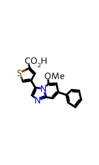 COc1cc(-c2ccccc2)cc2ncc(-c3csc(C(=O)O)c3)n12